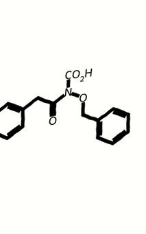 O=C(O)N(OCc1ccccc1)C(=O)Cc1ccccc1